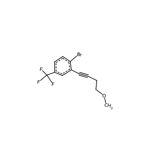 COCCC#Cc1cc(C(F)(F)F)ccc1Br